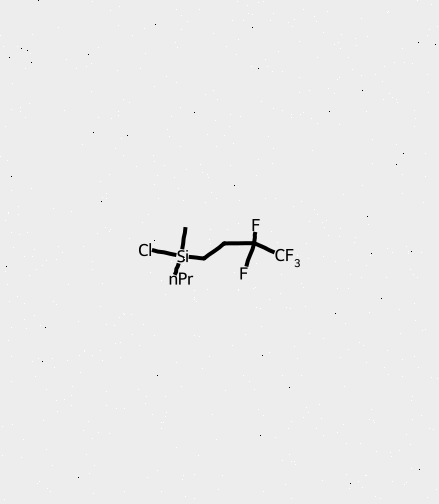 CCC[Si](C)(Cl)CCC(F)(F)C(F)(F)F